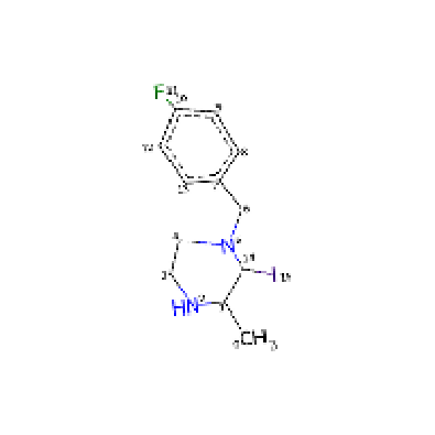 CC1NCCN(Cc2ccc(F)cc2)C1I